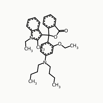 CCCCN(CCCC)c1ccc(C2(c3c(C)n(CC)c4ccccc34)OC(=O)c3ccccc32)c(OCC)c1